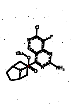 CC(C)(C)OC(=O)N1C2CCC1CN(c1nc(N)nc3c(F)c(Cl)ncc13)C2